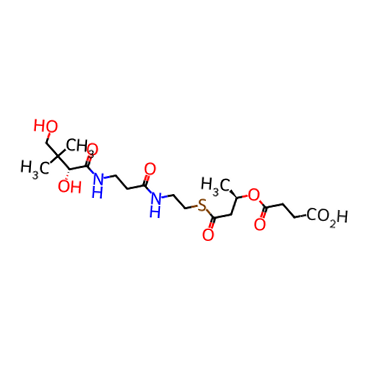 C[C@H](CC(=O)SCCNC(=O)CCNC(=O)[C@H](O)C(C)(C)CO)OC(=O)CCC(=O)O